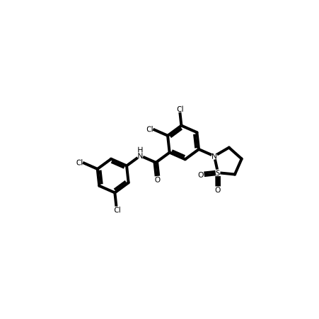 O=C(Nc1cc(Cl)cc(Cl)c1)c1cc(N2CCCS2(=O)=O)cc(Cl)c1Cl